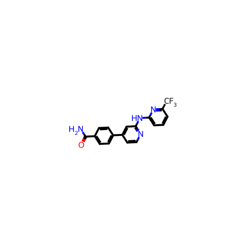 NC(=O)c1ccc(-c2ccnc(Nc3cccc(C(F)(F)F)n3)c2)cc1